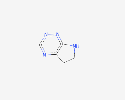 c1nnc2c(n1)CCN2